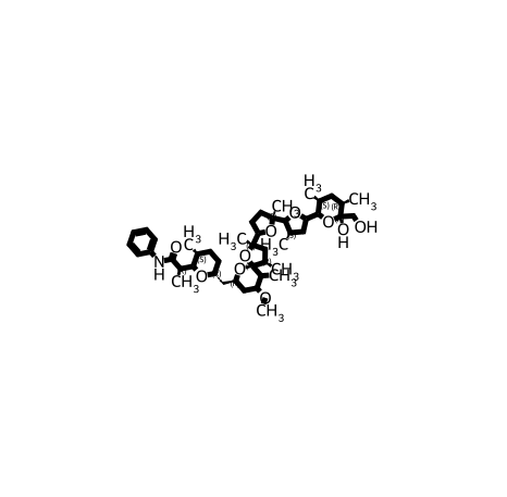 COC1C[C@@H](C[C@H]2CC[C@H](C)C([C@@H](C)C(=O)Nc3ccccc3)O2)O[C@]2(O[C@](C)(C3CC[C@@](C)(C4OC(C5O[C@@](O)(CO)[C@H](C)C[C@@H]5C)C[C@@H]4C)O3)C[C@H]2C)C1C